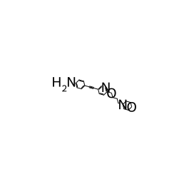 Nc1ccc(C#Cc2ccc(OCCCN3CCOCC3)nc2)cc1